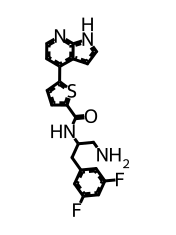 NCC(Cc1cc(F)cc(F)c1)NC(=O)c1ccc(-c2ccnc3[nH]ccc23)s1